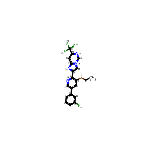 CCSc1cc(-c2cccc(F)c2)cnc1-c1cn2cnc(C(F)(F)F)cc2n1